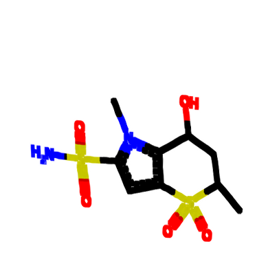 CC1CC(O)c2c(cc(S(N)(=O)=O)n2C)S1(=O)=O